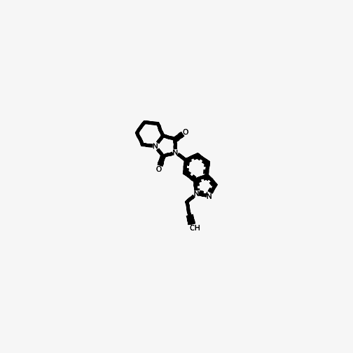 C#CCn1ncc2ccc(N3C(=O)C4CCCCN4C3=O)cc21